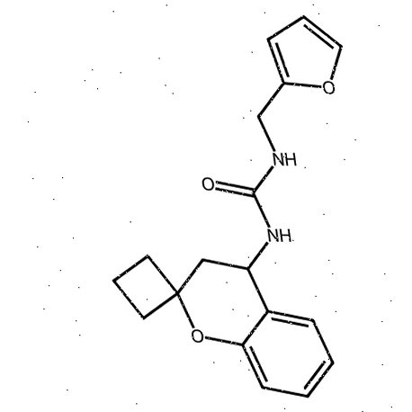 O=C(NCc1ccco1)NC1CC2(CCC2)Oc2ccccc21